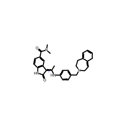 C/C(Nc1ccc(CN2CC=C3CC=CC=C3CC2)cc1)=C1/C(=O)Nc2ccc(C(=O)N(C)C)cc21